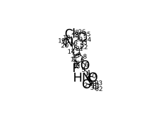 O=S(=O)(NCCOc1cc2c(cc1F)CC(CN1CCC1)C2Cc1cccc(Cl)c1)C1CCC1